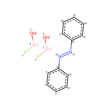 OBF.OBF.c1ccc(/N=N/c2ccccc2)cc1